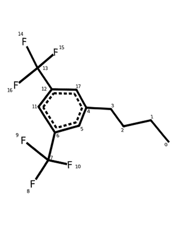 CCCCc1cc(C(F)(F)F)cc(C(F)(F)F)c1